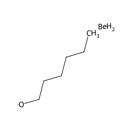 CCCCCC[O].[BeH2]